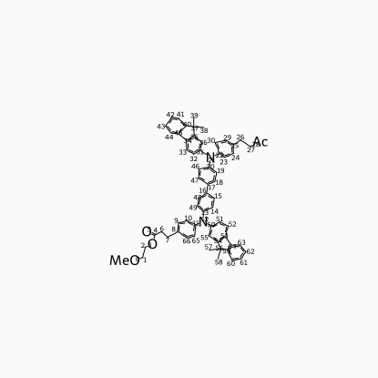 COCCOC(=O)CCc1ccc(N(c2ccc(-c3ccc(N(c4ccc(CCC(C)=O)cc4)c4ccc5c(c4)C(C)(C)c4ccccc4-5)cc3)cc2)c2ccc3c(c2)C(C)(C)c2ccccc2-3)cc1